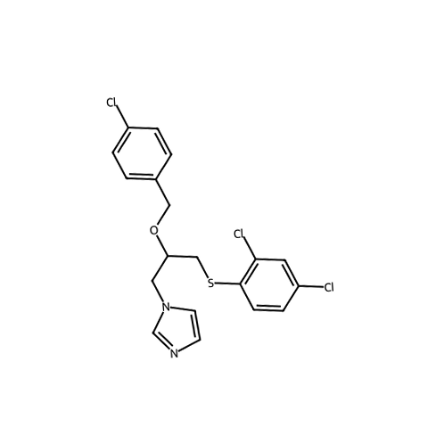 Clc1ccc(COC(CSc2ccc(Cl)cc2Cl)Cn2ccnc2)cc1